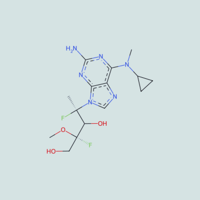 CO[C@](F)(CO)C(O)[C@@](C)(F)n1cnc2c(N(C)C3CC3)nc(N)nc21